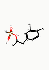 Cc1ccc(CC(C)OS(C)(=O)=O)cc1C